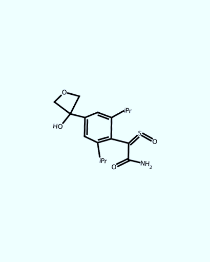 CC(C)c1cc(C2(O)COC2)cc(C(C)C)c1C(=S=O)C(N)=O